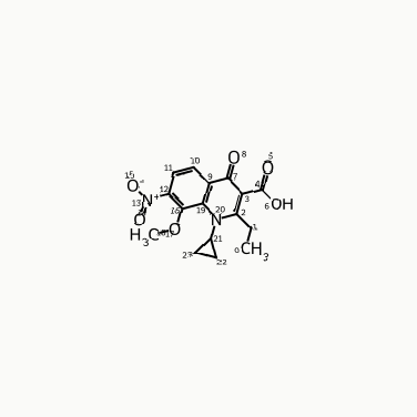 CCc1c(C(=O)O)c(=O)c2ccc([N+](=O)[O-])c(OC)c2n1C1CC1